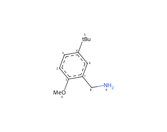 COc1ccc(C(C)(C)C)cc1CN